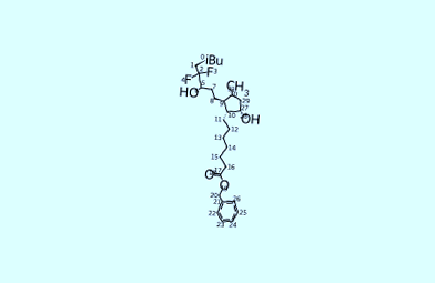 CC[C@H](C)CC(F)(F)C(O)CC[C@@H]1[C@@H](CCCCCCC(=O)OCc2ccccc2)[C@@H](O)C[C@H]1C